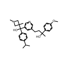 COc1ccc(C(C)(O)CCc2cncc(C(O)(c3ccc(C(C)C)cc3)C3(C)CN(C)C3)c2)cc1